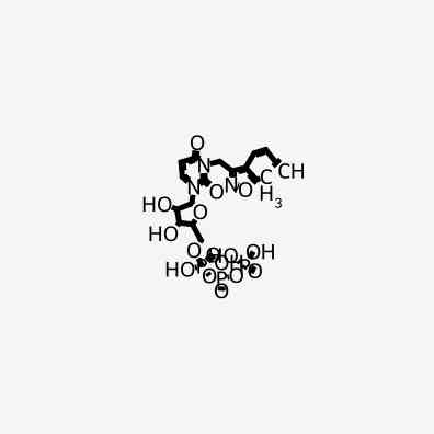 C#C/C=C\c1c(Cn2c(=O)ccn(C3OC(COP(=O)(O)OP(=O)(O)OP(=O)(O)O)C(O)C3O)c2=O)noc1C